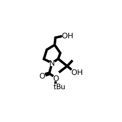 CC(C)(C)OC(=O)N1CCC(CO)CC1C(C)(C)O